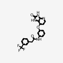 O=C(Cc1cccc(C(F)(F)F)c1)Nc1cccc(Oc2ccnc3[nH]c(=O)[nH]c23)c1